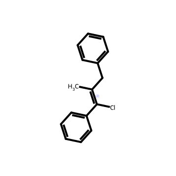 C/C(Cc1ccccc1)=C(/Cl)c1ccccc1